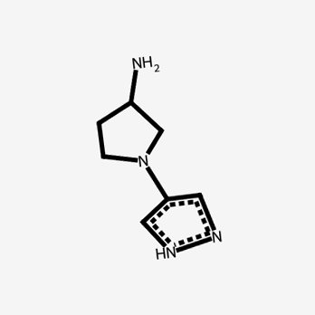 NC1CCN(c2cn[nH]c2)C1